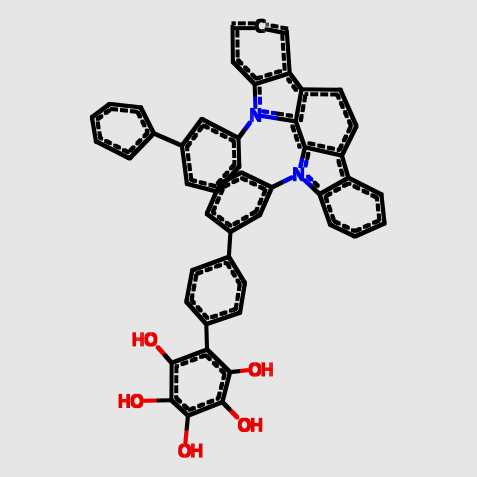 Oc1c(O)c(O)c(-c2ccc(-c3cccc(-n4c5ccccc5c5ccc6c7ccccc7n(-c7cccc(-c8ccccc8)c7)c6c54)c3)cc2)c(O)c1O